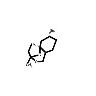 CC12CC[C@@]3(C[C@H](C(C)(C)C)CCC3CO1)O2